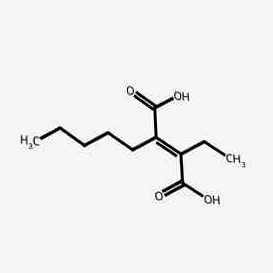 CCCCCC(C(=O)O)=C(CC)C(=O)O